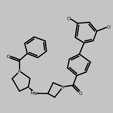 O=C(c1ccc(-c2cc(Cl)cc(Cl)c2)cc1)N1CC(N[C@H]2CCN(C(=O)c3ccccc3)C2)C1